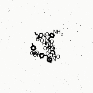 CCN1CCN(C(=O)N[C@@H](C(=O)N[C@@H]2C(=O)N3C(C(=O)OC(c4ccccc4)c4ccccc4)=C(COC(N)=O)CS[C@H]23)c2ccc(N)cc2)C(=O)C1=O.Cc1ccc(S(=O)(=O)O)cc1